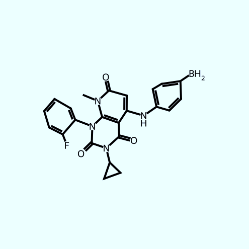 Bc1ccc(Nc2cc(=O)n(C)c3c2c(=O)n(C2CC2)c(=O)n3-c2ccccc2F)cc1